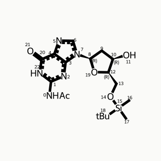 CC(=O)Nc1nc2c(ncn2[C@H]2C[C@@H](O)[C@@H](CO[Si](C)(C)C(C)(C)C)O2)c(=O)[nH]1